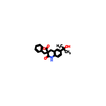 CC(C)(O)c1ccc2c(c1)CC(Cc1ccccc1)(C(=O)O)C(=O)N2